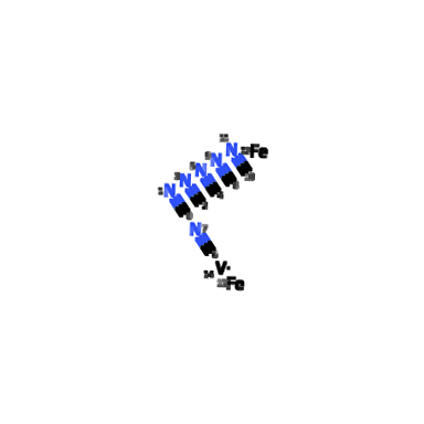 C#N.C#N.C#N.C#N.C#N.C#N.[Fe].[Fe].[V]